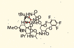 COC(=O)CC(NC(=O)C(C)NC(=O)C(NC(=O)C(CC(=O)OC)NC(=O)C(NC(=O)C(=O)Nc1ccccc1C(C)(C)C)C(C)C)C(C)C)C(=O)COc1c(F)c(F)cc(F)c1F